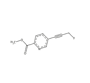 COC(=O)c1ccc(C#CCF)cn1